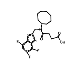 O=C(O)CCC(=O)N(Cc1nc2c(F)c(F)cc(F)c2s1)C1CCCCCCC1